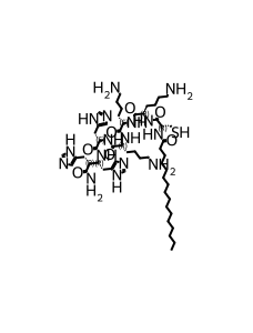 CCCCCCCCCCCCCCCC(=O)N[C@@H](CS)C(=O)N[C@H](CCCCN)C(=O)N[C@@H](CCCCN)C(=O)N[C@H](CCCCN)C(=O)N[C@@H](Cc1cnc[nH]1)C(=O)N[C@H](Cc1cnc[nH]1)[C@@H](Cc1cnc[nH]1)C(N)=O